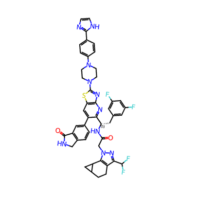 O=C(Cn1nc(C(F)F)c2c1C1CC1CC2)N[C@@H](Cc1cc(F)cc(F)c1)c1nc2nc(N3CCN(c4ccc(-c5ncc[nH]5)cc4)CC3)sc2cc1-c1ccc2c(c1)C(=O)NC2